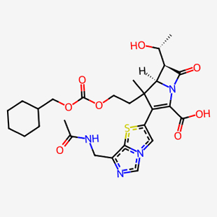 CC(=O)NCc1ncn2cc(C3=C(C(=O)O)N4C(=O)[C@H]([C@@H](C)O)[C@@H]4C3(C)CCOC(=O)OCC3CCCCC3)sc12